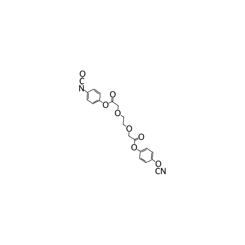 N#COc1ccc(OC(=O)COCCOCC(=O)Oc2ccc(N=C=O)cc2)cc1